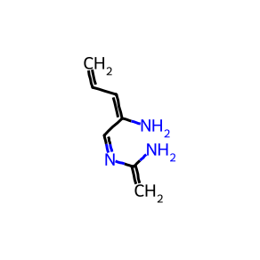 C=C/C=C(N)\C=N/C(=C)N